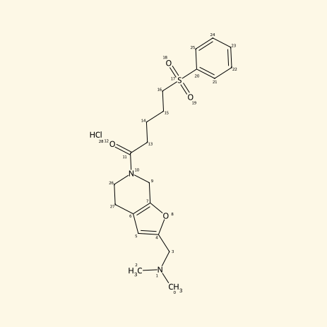 CN(C)Cc1cc2c(o1)CN(C(=O)CCCCS(=O)(=O)c1ccccc1)CC2.Cl